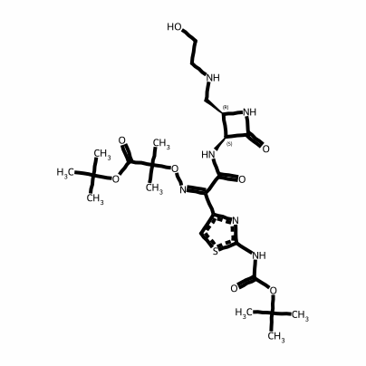 CC(C)(C)OC(=O)Nc1nc(C(=NOC(C)(C)C(=O)OC(C)(C)C)C(=O)N[C@@H]2C(=O)N[C@@H]2CNCCO)cs1